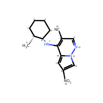 C[C@@H]1CCCC[C@@H]1Nc1c(C#N)cnn2cc([N+](=O)[O-])cc12